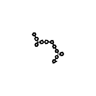 Cc1ccccc1C1=CC=C(N(c2ccccc2)c2ccc(-c3ccc(-c4cccc(C5=CCC(C6C=CC(N(C7=CC=C(c8ccccc8)CC7)c7ccccc7)=CC6)C=C5)c4)cc3)cc2)CC1